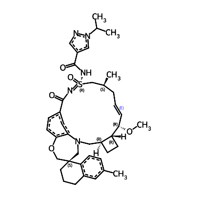 CO[C@H]1/C=C/C[C@H](C)C[S@@](=O)(NC(=O)c2cnn(C(C)C)c2)=NC(=O)c2ccc3c(c2)N(C[C@@H]2CC[C@H]21)C[C@@]1(CCCc2cc(C)ccc21)CO3